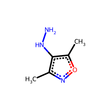 Cc1noc(C)c1NN